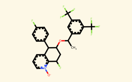 CC(OC1CC(F)c2c(ccc[n+]2[O-])C1c1ccc(F)cc1)c1cc(C(F)(F)F)cc(C(F)(F)F)c1